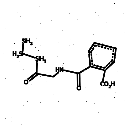 O=C(CNC(=O)c1ccccc1C(=O)O)[SiH2][SiH2][SiH3]